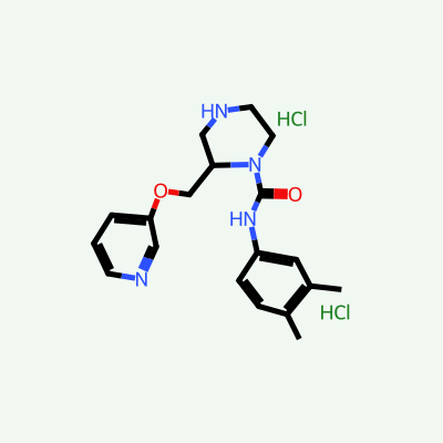 Cc1ccc(NC(=O)N2CCNCC2COc2cccnc2)cc1C.Cl.Cl